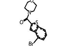 O=C(c1cc2c(Br)cccc2s1)N1CCOCC1